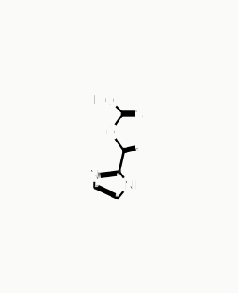 O=C(OC(O)=S)c1ncc[nH]1